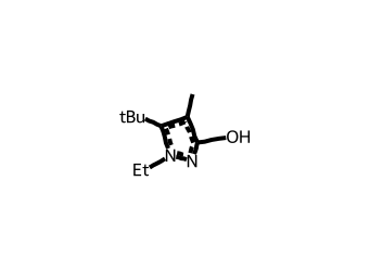 CCn1nc(O)c(C)c1C(C)(C)C